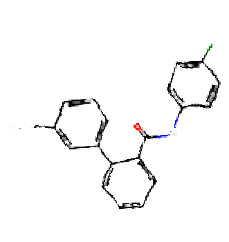 COc1cccc(-c2ccccc2C(=O)Nc2ccc(Cl)cc2)c1